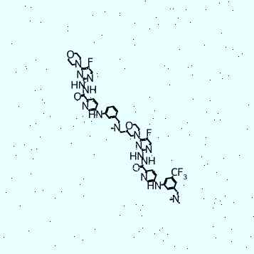 CN(C)Cc1cc(Nc2ccc(C(=O)NNc3ncc(F)c(N4CCOC(CN(C)Cc5cccc(Nc6ccc(C(=O)NNc7ncc(F)c(N8CCOCC8)n7)nc6)c5)C4)n3)nc2)cc(C(F)(F)F)c1